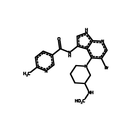 Cc1ccc(C(=O)Nc2c[nH]c3ncc(Br)c(N4CCCC(NC(=O)O)C4)c23)cn1